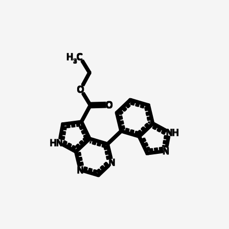 CCOC(=O)c1c[nH]c2ncnc(-c3cccc4[nH]ncc34)c12